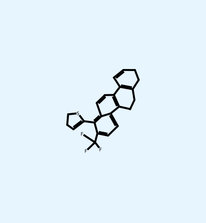 FC(F)(F)c1ccc2c3c(ccc2c1C1=CCCS1)C1=C(CCC=C1)CC3